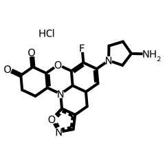 Cl.NC1CCN(C2=CC3Cc4cnoc4N4C5=C(OC(=C2F)C34)C(=O)C(=O)CC5)C1